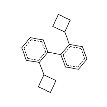 [c]1ccc(-c2ccccc2C2CCC2)c(C2CCC2)c1